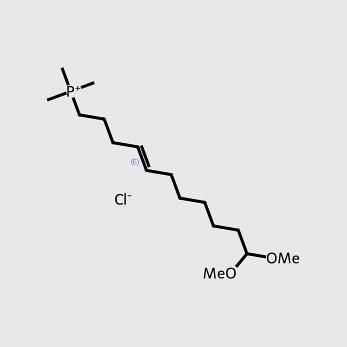 COC(CCCCC/C=C/CCC[P+](C)(C)C)OC.[Cl-]